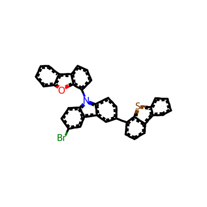 Brc1ccc2c(c1)c1cc(-c3cccc4c3sc3ccccc34)ccc1n2-c1cccc2c1oc1ccccc12